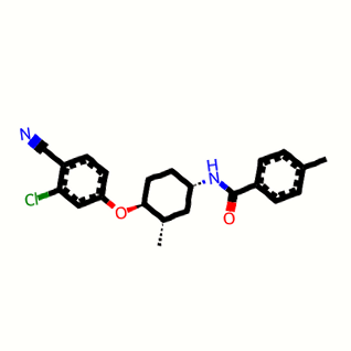 Cc1ccc(C(=O)N[C@H]2CC[C@H](Oc3ccc(C#N)c(Cl)c3)[C@@H](C)C2)cc1